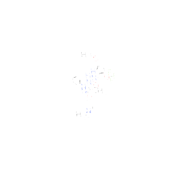 COCc1ccc(OC(F)(F)F)c(CNC(=O)Nc2c(C)c(OCC3CCN(C)C3)nn2-c2ccccc2)c1